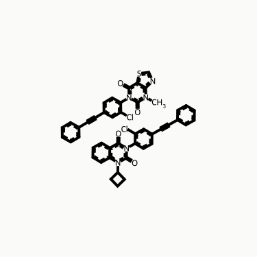 Cn1c(=O)n(-c2ccc(C#Cc3ccccc3)cc2Cl)c(=O)c2scnc21.O=c1c2ccccc2n(C2CCC2)c(=O)n1-c1ccc(C#Cc2ccccc2)cc1Cl